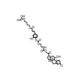 COc1cc(/C=C/C(=O)OCCCCON(O)O)ccc1OC(=O)OCCNC(=O)OCC(=O)C1CCC2[C@@H]3CCC4=CC(=O)C=C[C@]4(C)C3(F)[C@@H](O)C[C@]12C